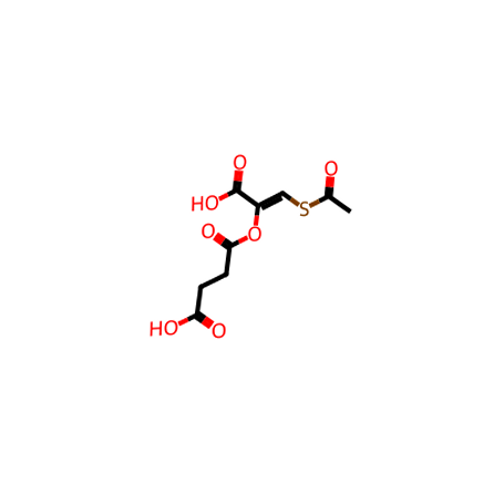 CC(=O)SC=C(OC(=O)CCC(=O)O)C(=O)O